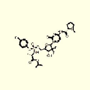 CC(C)OC(=O)[C@H](C)NP(=O)(OC[C@H]1OC(n2ccc(NC(=O)[C@@H]3CCCN3C)nc2=O)C(F)(F)[C@@H]1O)Oc1ccc(Cl)cc1